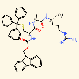 C[C@H](NC(=O)[C@H](CSC(c1ccccc1)(c1ccccc1)c1ccccc1)NC(=O)OCC1c2ccccc2-c2ccccc21)C(=O)N[C@@H](CCCNC(=N)N)C(=O)O